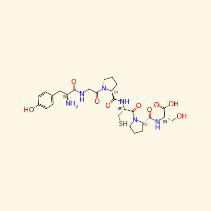 N[C@@H](Cc1ccc(O)cc1)C(=O)NCC(=O)N1CCC[C@H]1C(=O)N[C@@H](CS)C(=O)N1CCC[C@H]1C(=O)N[C@@H](CO)C(=O)O